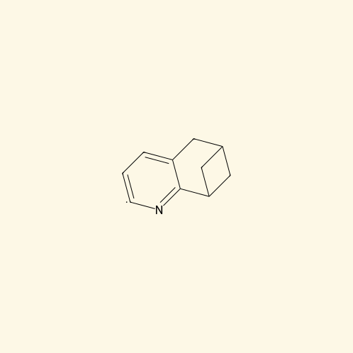 [c]1ccc2c(n1)C1CC(C2)C1